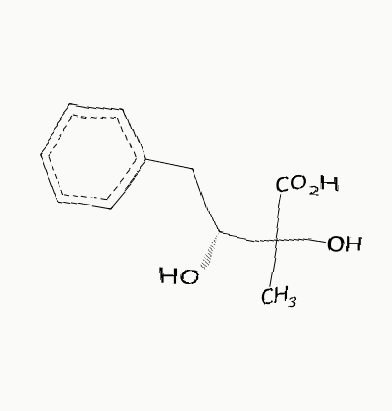 CC(O)(C(=O)O)[C@H](O)Cc1ccccc1